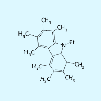 CCN1c2c(C)c(C)c(C)c(C)c2C2=C(C)C(C)=C(C)C(C)C21